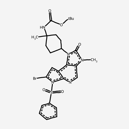 Cn1c(=O)n(C2CCC(C)(NC(=O)OC(C)(C)C)CC2)c2c3cc(Br)n(S(=O)(=O)c4ccccc4)c3ncc21